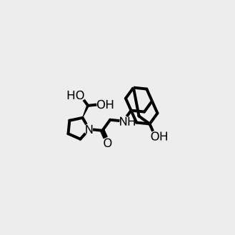 O=C(CNC12CC3CC(CC(O)(C3)C1)C2)N1CCC[C@H]1C(O)O